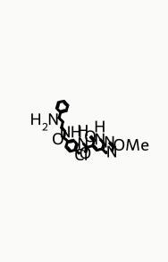 COc1ncc2cc(C(=O)Nc3cc(C(=O)NCC[C@@H](N)c4ccccc4)ccc3Cl)c(=O)[nH]c2n1